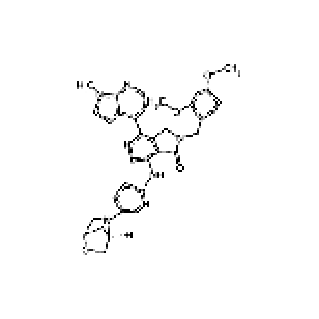 COc1ccc(CN2Cc3c(-c4ccnc5c4ccn5C)ncc(Nc4ccc(N5CC6C[C@@H]5CO6)cn4)c3C2=O)c(OC)c1